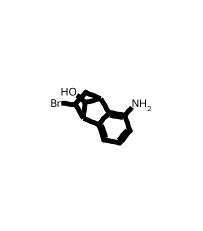 Nc1cccc2c1C1CC(Br)C2C1O